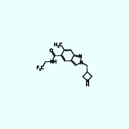 Cc1cc2nn(CC3CNC3)cc2cc1C(=O)NCC(F)(F)F